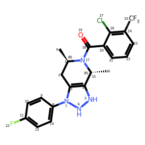 C[C@@H]1CC2=C(NNN2c2ccc(F)cc2)[C@@H](C)N1C(=O)c1cccc(C(F)(F)F)c1Cl